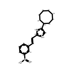 O=[N+]([O-])c1cccc(/C=C/c2nc(C3CCCCCCC3)cs2)c1